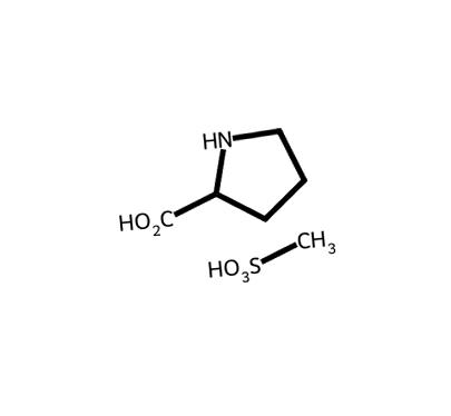 CS(=O)(=O)O.O=C(O)C1CCCN1